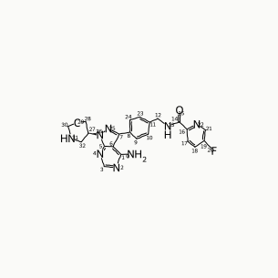 Nc1ncnc2c1c(-c1ccc(CNC(=O)c3ccc(F)cn3)cc1)nn2[C@@H]1CCCNC1